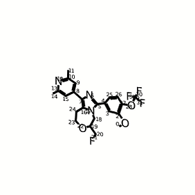 COc1cc(-c2nc(-c3cc(C)nc(C)c3)c3n2CC(CF)OCC3)ccc1OC(F)(F)F